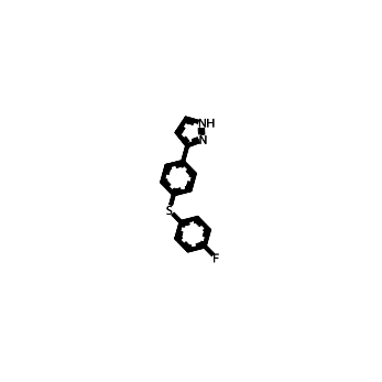 Fc1ccc(Sc2ccc(-c3cc[nH]n3)cc2)cc1